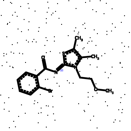 COCCn1c(C)c(C)s/c1=N\C(=O)c1ccccc1Br